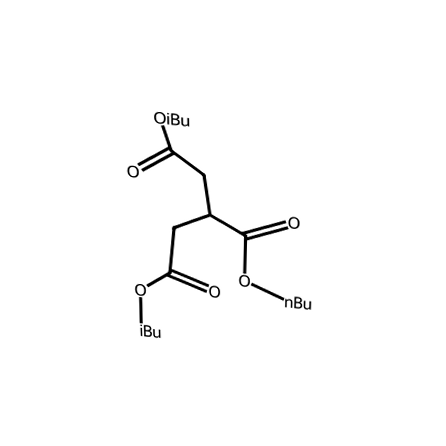 CCCCOC(=O)C(CC(=O)OCC(C)C)CC(=O)OC(C)CC